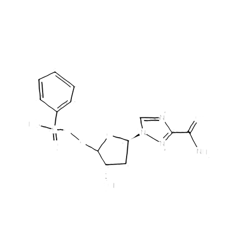 NC(=O)c1ncn([C@H]2C[C@H](O)C(COP(=O)(O)c3ccccc3)O2)n1